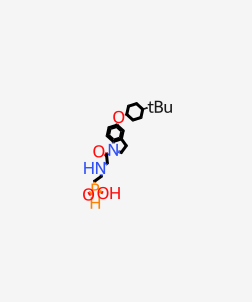 CC(C)(C)[C@H]1CC[C@H](Oc2ccc3c(c2)CCN3C(=O)CNCC[PH](=O)O)CC1